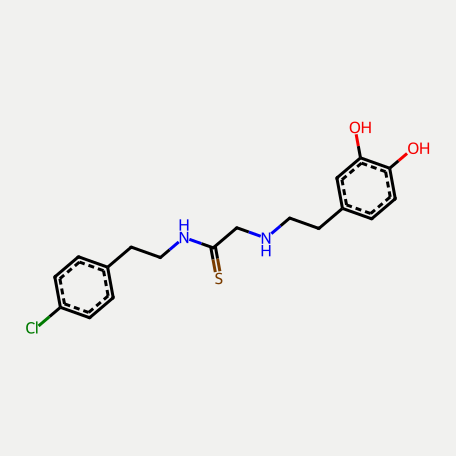 Oc1ccc(CCNCC(=S)NCCc2ccc(Cl)cc2)cc1O